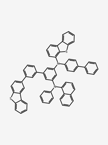 c1ccc(-c2ccc(N(c3cc(-c4cccc(-c5ccc6sc7ccccc7c6c5)c4)cc(N(c4ccccc4)c4cccc5ccccc45)c3)c3cccc4c3sc3ccccc34)cc2)cc1